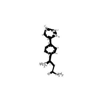 [CH2]C(CC(N)=O)c1ccc(-c2cnns2)cc1